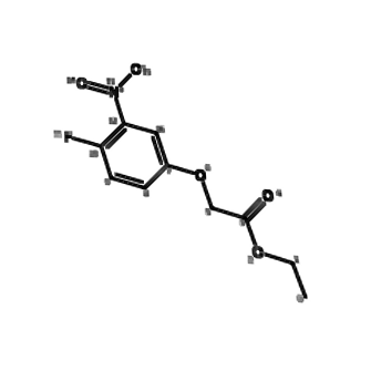 CCOC(=O)COc1ccc(F)c([N+](=O)[O-])c1